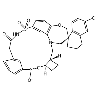 O=C1Cc2cccc(c2)[S+]([O-])C[C@@H]2CC[C@H]2CN2C[C@@]3(CCCc4cc(Cl)ccc43)COc3ccc(cc32)S(=O)(=O)N1